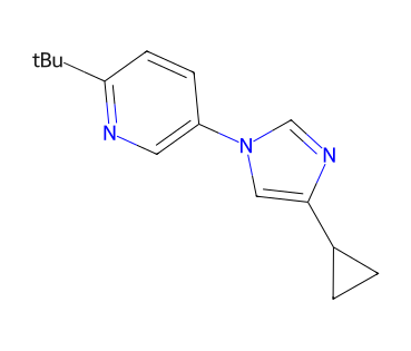 CC(C)(C)c1ccc(-n2cnc(C3CC3)c2)cn1